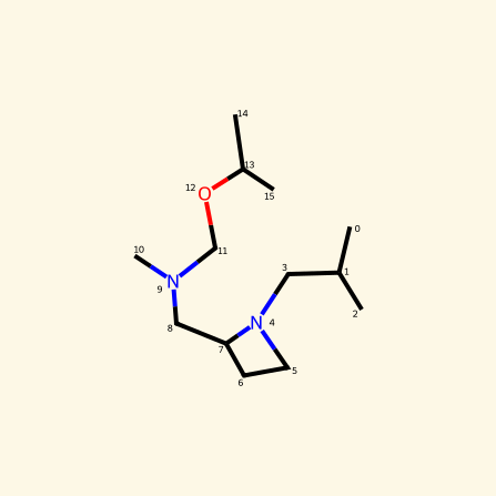 CC(C)CN1CCC1CN(C)COC(C)C